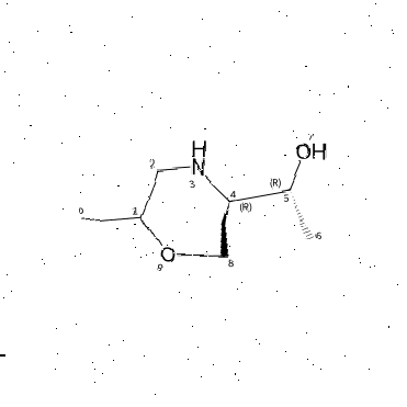 CC1CN[C@@H]([C@@H](C)O)CO1